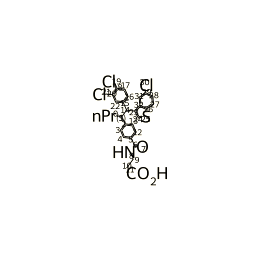 CCC[C@H](c1ccc(C(=O)NCCC(=O)O)cc1)C(c1ccc(Cl)c(Cl)c1)c1csc2ccc(Cl)cc12